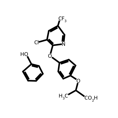 CC(Oc1ccc(Oc2ncc(C(F)(F)F)cc2Cl)cc1)C(=O)O.Oc1ccccc1